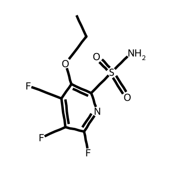 CCOc1c(S(N)(=O)=O)nc(F)c(F)c1F